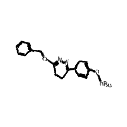 CCCCOc1ccc(C2=NN=C(OCc3ccccc3)CC2)cc1